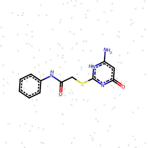 Nc1cc(=O)nc(SCC(=O)Nc2ccccc2)[nH]1